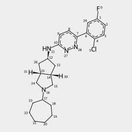 Fc1ccc(Cl)c(-c2ccc(N[C@H]3C[C@@H]4CN(C5CCCCCC5)C[C@@H]4C3)nn2)c1